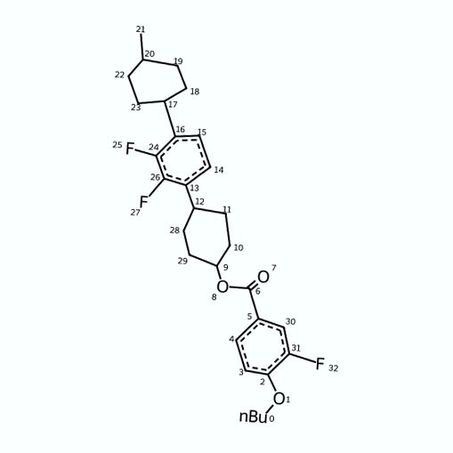 CCCCOc1ccc(C(=O)OC2CCC(c3ccc(C4CCC(C)CC4)c(F)c3F)CC2)cc1F